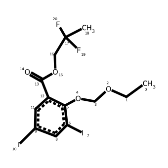 CCOCOc1c(I)cc(I)cc1C(=O)OCC(C)(F)F